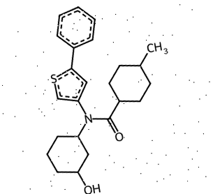 CC1CCC(C(=O)N(c2csc(-c3ccccc3)c2)C2CCCC(O)C2)CC1